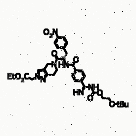 CCOC(=O)Cn1cc2c(n1)CCN(C(=O)[C@H](Cc1ccc([N+](=O)[O-])cc1)NC(=O)c1ccc(C(=N)NC(=O)OCCOC(C)(C)C)cc1)C2